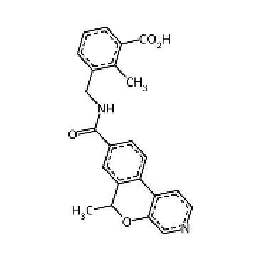 Cc1c(CNC(=O)c2ccc3c(c2)C(C)Oc2cnccc2-3)cccc1C(=O)O